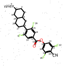 CCCCCCC1CCC2CC(c3c(F)cc(C(=O)Oc4cc(F)c(C#N)c(F)c4)cc3F)CCC2C1